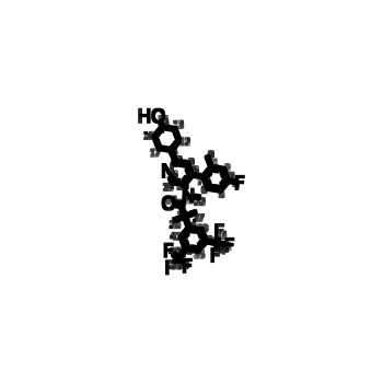 Cc1cc(F)ccc1-c1cc(C2CC[C](O)CC2)ncc1N(C)C(=O)C(C)(C)c1cc(C(F)(F)F)cc(C(F)(F)F)c1